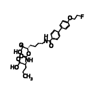 CCC[C@H](NC(=O)O[C@@H](CCCCNC(=O)c1ccc(-c2ccc(OCCF)cc2)cc1)C(=O)O)C(=O)O